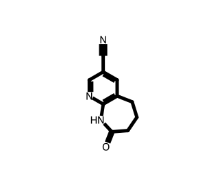 N#Cc1cnc2c(c1)CCCC(=O)N2